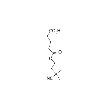 CC(C)(C#N)CCOC(=O)CCCC(=O)O